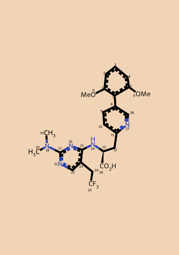 COc1cccc(OC)c1-c1ccc(C[C@H](Nc2nc(N(C)C)ncc2CC(F)(F)F)C(=O)O)nc1